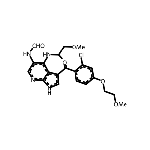 COCCOc1ccc(C(=O)c2c[nH]c3ncc(NC=O)c(NC(C)COC)c23)c(Cl)c1